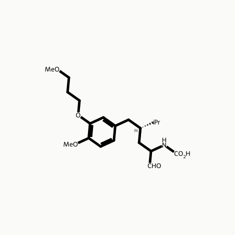 COCCCOc1cc(C[C@@H](CC(C=O)NC(=O)O)C(C)C)ccc1OC